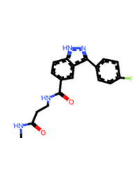 CNC(=O)CCNC(=O)c1ccc2[nH]nc(-c3ccc(F)cc3)c2c1